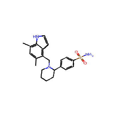 Cc1cc(C)c2[nH]ccc2c1CN1CCCCC1c1ccc(S(N)(=O)=O)cc1